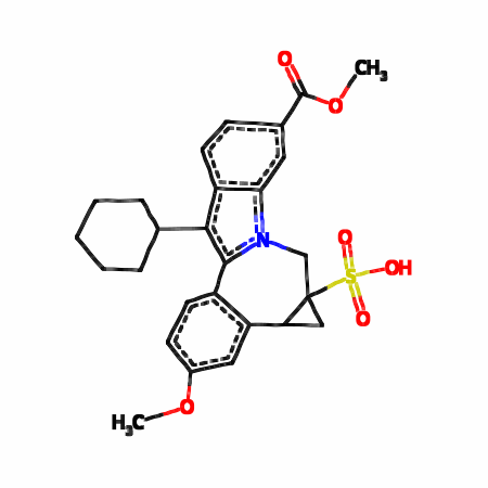 COC(=O)c1ccc2c(C3CCCCC3)c3n(c2c1)CC1(S(=O)(=O)O)CC1c1cc(OC)ccc1-3